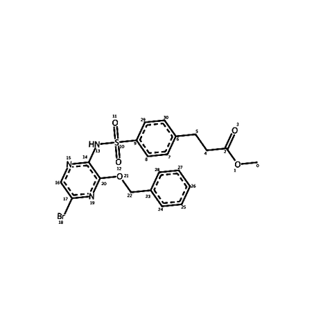 COC(=O)CCc1ccc(S(=O)(=O)Nc2ncc(Br)nc2OCc2ccccc2)cc1